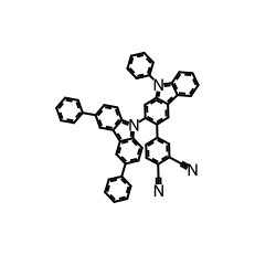 N#Cc1ccc(-c2cc3c4ccccc4n(-c4ccccc4)c3cc2-n2c3ccc(-c4ccccc4)cc3c3cc(-c4ccccc4)ccc32)cc1C#N